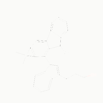 C[Si]1(C)c2cc3c(c(C4C=C(CCCO)c5ccccc54)c21)[CH]([Zr+2])c1ccccc1-3.[Cl-].[Cl-]